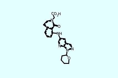 O=C(O)Cn1ccc2cccc(Nc3cnc4c(cnn4C4CCCCO4)c3)c2c1=O